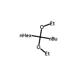 CCCCCCC(CCCC)(OCC)OCC